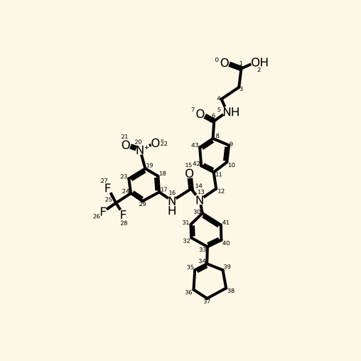 O=C(O)CCNC(=O)c1ccc(CN(C(=O)Nc2cc([N+](=O)[O-])cc(C(F)(F)F)c2)c2ccc(C3=CCCCC3)cc2)cc1